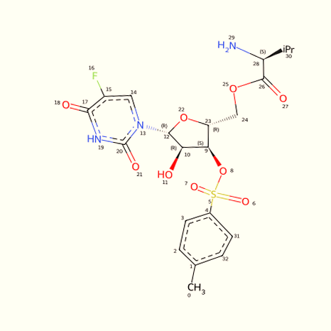 Cc1ccc(S(=O)(=O)O[C@H]2[C@@H](O)[C@H](n3cc(F)c(=O)[nH]c3=O)O[C@@H]2COC(=O)[C@@H](N)C(C)C)cc1